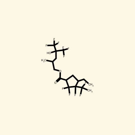 CCC1CC(C(=O)OCC(C)CC(O)(C(F)(F)F)C(F)(F)F)C(F)(F)C1(F)C(C)(F)F